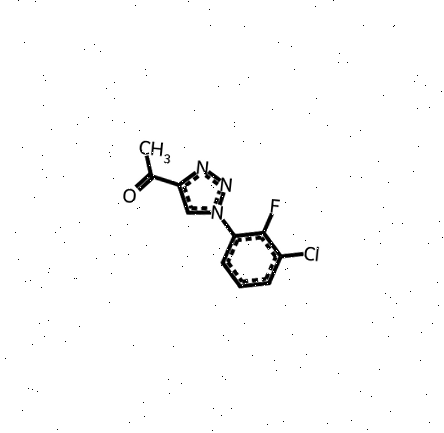 CC(=O)c1cn(-c2cccc(Cl)c2F)nn1